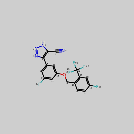 N#Cc1[nH]nnc1-c1cc(F)cc(OCc2ccc(F)cc2C(F)(F)F)c1